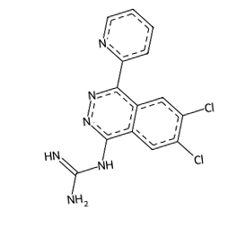 N=C(N)Nc1nnc(-c2ccccn2)c2cc(Cl)c(Cl)cc12